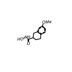 COc1ccc2c(c1)CC(C(=O)NO)CC2